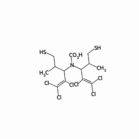 CC(CS)C(C(Cl)=C(Cl)Cl)N(C(=O)O)C(C(Cl)=C(Cl)Cl)C(C)CS